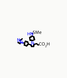 CSNc1ccc(-n2c(CCC(=O)O)ccc2-c2ccc(-n3ccnc3C)cc2)cc1